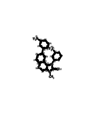 Cn1c(=O)n(-c2cccc(C(F)(F)F)c2)c2c3cc(-c4cccc(N)c4)ccc3ncc21